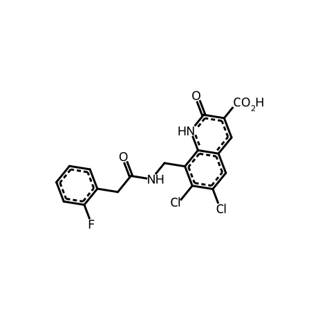 O=C(Cc1ccccc1F)NCc1c(Cl)c(Cl)cc2cc(C(=O)O)c(=O)[nH]c12